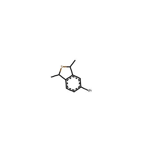 CC(C)c1ccc2c(c1)C(C)SC2C